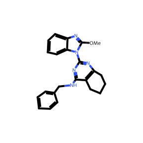 COc1nc2ccccc2n1-c1nc2c(c(NCc3ccccc3)n1)CCCC2